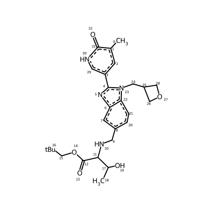 Cc1cc(-c2nc3cc(CNC(C(=O)OCC(C)(C)C)C(C)O)ccc3n2CC2COC2)c[nH]c1=O